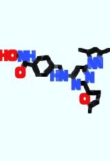 Cc1cc(C)n(-c2cc(NCc3ccc(C(=O)NO)cc3)nc(-c3ccc(C)o3)n2)n1